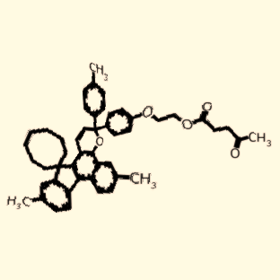 CC(=O)CCC(=O)OCCOc1ccc(C2(c3ccc(C)cc3)C=Cc3c4c(c5ccc(C)cc5c3O2)-c2ccc(C)cc2C42CCCCCCC2)cc1